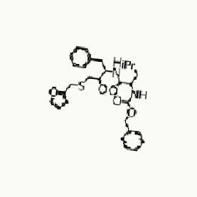 CC(C)CC(NC(=O)OCc1ccccc1)C(=O)NC(Cc1ccccc1)C(=O)CSCc1ccco1